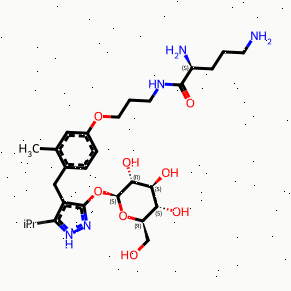 Cc1cc(OCCCNC(=O)[C@@H](N)CCCN)ccc1Cc1c(O[C@@H]2O[C@H](CO)[C@@H](O)[C@H](O)[C@H]2O)n[nH]c1C(C)C